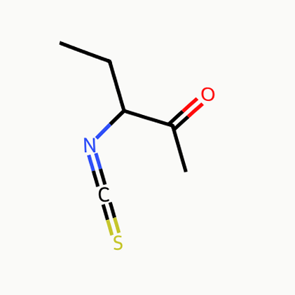 CCC(N=C=S)C(C)=O